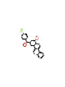 O=C1CC(C(=O)c2ccc(F)cc2)C=c2c1ccc1c2=CCc2ccccc2-1